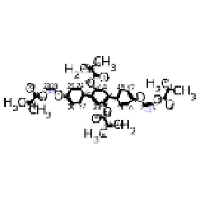 C=C(C)C(=O)O/C=C\Oc1ccc(-c2cc(OC(=O)C(=C)C)c(-c3ccc(O/C=C\OC(=O)C(=C)C)cc3)cc2OC(=O)C(=C)C)cc1